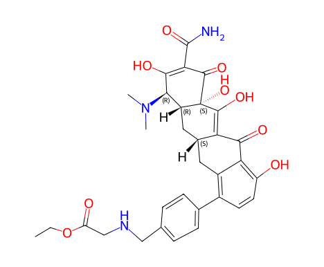 CCOC(=O)CNCc1ccc(-c2ccc(O)c3c2C[C@@H]2C[C@@H]4[C@@H](N(C)C)C(O)=C(C(N)=O)C(=O)[C@@]4(O)C(O)=C2C3=O)cc1